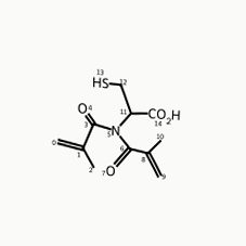 C=C(C)C(=O)N(C(=O)C(=C)C)C(CS)C(=O)O